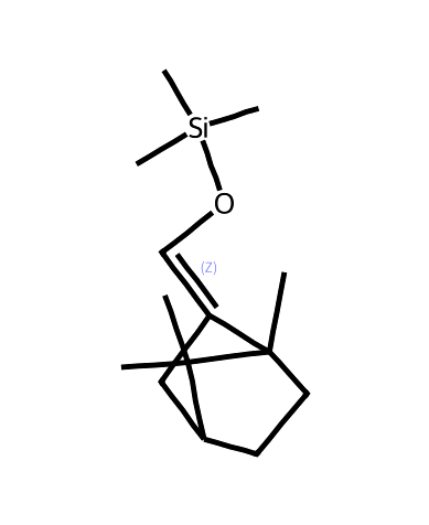 CC12CCC(C/C1=C/O[Si](C)(C)C)C2(C)C